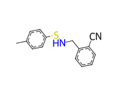 Cc1ccc(SNCc2ccccc2C#N)cc1